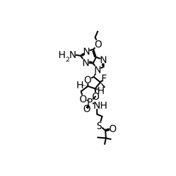 CCOc1nc(N)nc2c1ncn2[C@@H]1O[C@@H]2COP(=O)(NCCSC(=O)C(C)(C)C)O[C@H]2[C@@]1(C)F